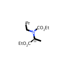 CCOC(=O)[C@H](C)N(CC(C)C)C(=O)OCC